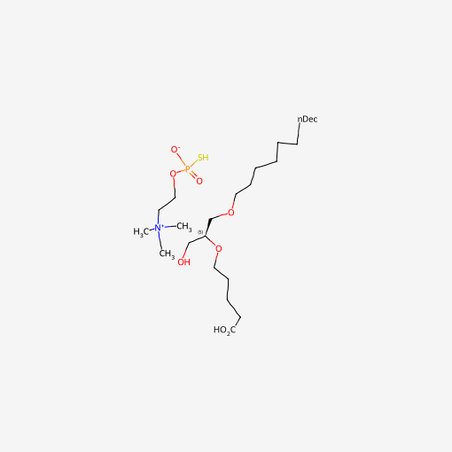 CCCCCCCCCCCCCCCCOC[C@H](CO)OCCCCC(=O)O.C[N+](C)(C)CCOP(=O)([O-])S